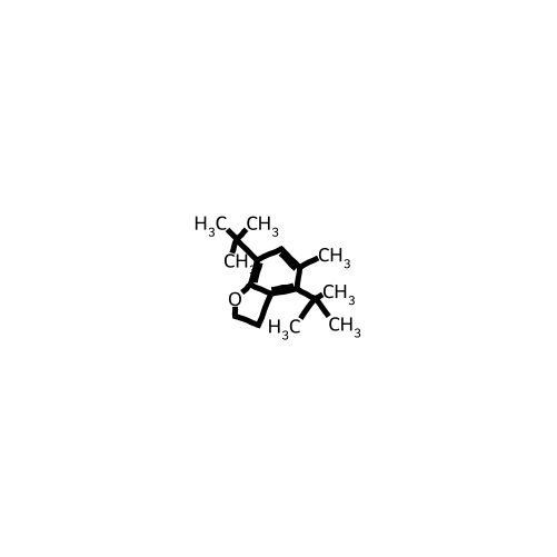 Cc1cc(C(C)(C)C)c2c(c1C(C)(C)C)CCO2